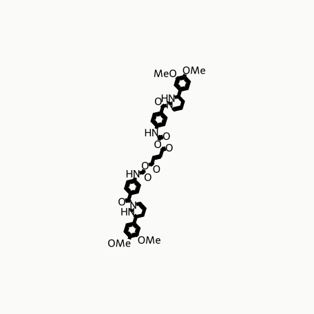 COc1ccc(C2CC=CN(C(=O)c3ccc(NC(=O)OC(=O)/C=C/C(=O)OC(=O)Nc4ccc(C(=O)N5C=CCC(c6ccc(OC)c(OC)c6)N5)cc4)cc3)N2)cc1OC